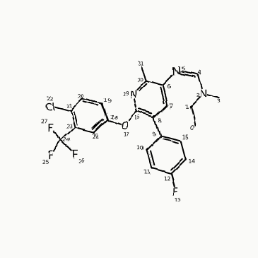 CCN(C)/C=N\c1cc(-c2ccc(F)cc2)c(Oc2ccc(Cl)c(C(F)(F)F)c2)nc1C